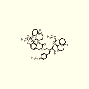 COC(=O)[C@@H]1CCC[C@@H]2SCC[C@H](NC(=O)[C@H](CC[C@H](Cc3ccc(OC)cc3)C(=O)N[C@H]3CCS[C@H]4CCC[C@@H](C(=O)OC)N4C3=O)Cc3ccc(OC)cc3)C(=O)N21